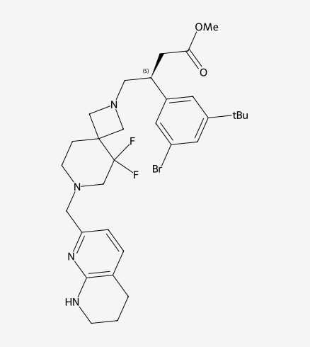 COC(=O)C[C@H](CN1CC2(CCN(Cc3ccc4c(n3)NCCC4)CC2(F)F)C1)c1cc(Br)cc(C(C)(C)C)c1